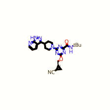 CC(C)(C)NC(=O)c1nc(OC[C@H]2CC2C#N)nc(N2CCC(c3n[nH]c4ncccc34)CC2)n1